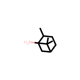 BC12CC(CCC1C)C2(C)C